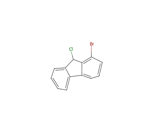 ClC1c2ccccc2-c2cccc(Br)c21